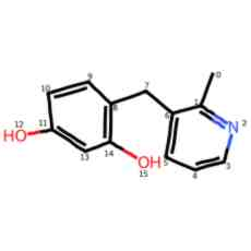 Cc1ncccc1Cc1ccc(O)cc1O